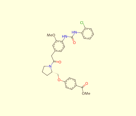 COC(=O)c1ccc(OC[C@@H]2CCCN2C(=O)Cc2ccc(NC(=O)Nc3ccccc3Cl)c(OC)c2)cc1